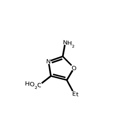 CCc1oc(N)nc1C(=O)O